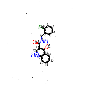 O=C(NCc1ccccc1F)c1c[nH]c2ccccc2c1=O